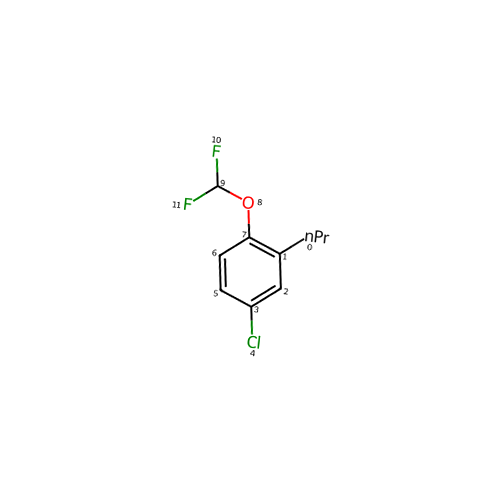 CCCc1cc(Cl)ccc1OC(F)F